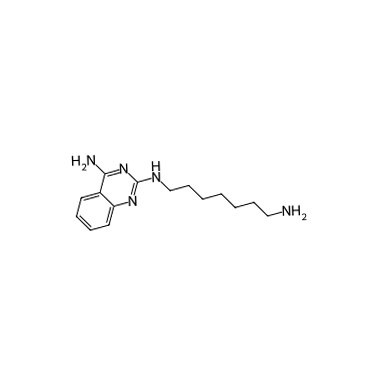 NCCCCCCCNc1nc(N)c2ccccc2n1